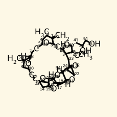 C=C1C(C)CC2CC[C@@H]3OC(CC[C@@]45CC6OC7C(O4)[C@H]4OC(CC[C@@H]4O[C@H]7C6O5)CC(=O)CC4[C@H](CC1O2)O[C@H](CC(O)CO)[C@@H]4OC)CC3=C